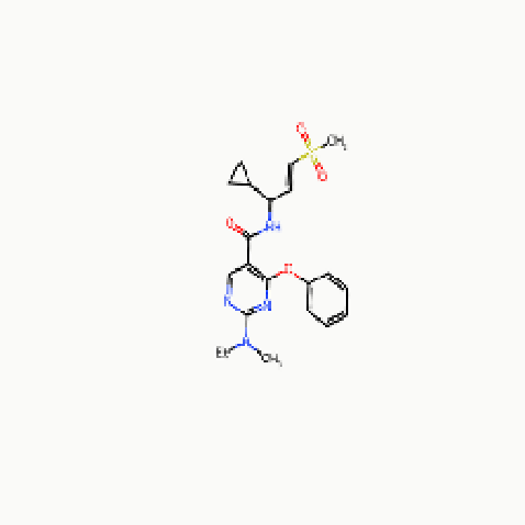 CCN(C)c1ncc(C(=O)NC(C=CS(C)(=O)=O)C2CC2)c(Oc2ccccc2)n1